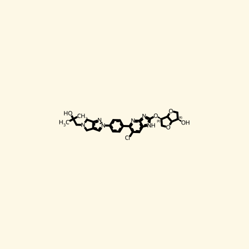 CC(C)(O)CN1Cc2cn(-c3ccc(-c4nc5nc(O[C@@H]6COC7C6OC[C@H]7O)[nH]c5cc4Cl)cc3)nc2C1